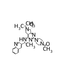 CC(=O)N1CCN(c2nc(NC(C)c3cnc4ccccc4c3)c3c(n2)[C@@H](C=O)N(C(C)C)C3)CC1